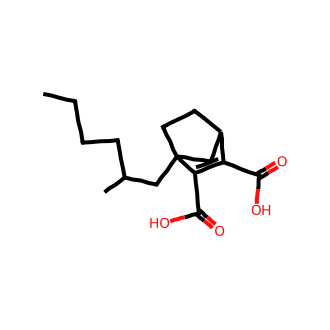 CCCCC(C)CC12CCC(C1)C(C(=O)O)=C2C(=O)O